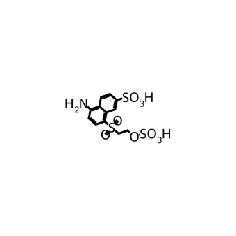 Nc1ccc(S(=O)(=O)CCOS(=O)(=O)O)c2cc(S(=O)(=O)O)ccc12